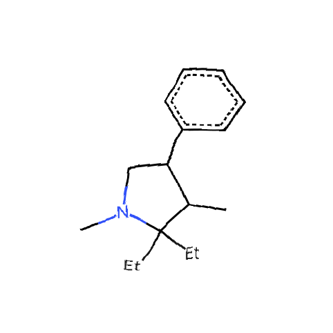 CCC1(CC)C(C)C(c2ccccc2)CN1C